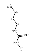 CCCCNCCNC(=O)NCC